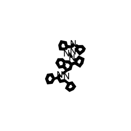 c1ccc(-c2cc(-c3ccccc3)nc(-c3cc4c5ccccc5n(-c5nc6ccccc6c6nc7ccccc7n56)c4c4ccccc34)n2)cc1